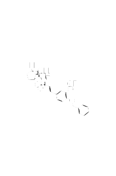 CC1(C)[C@@H]2CC[C@@]1(C)[C@@H](OC(=O)/C=C/c1ccc(OCc3ccccc3)c(OC(F)(F)F)c1)C2